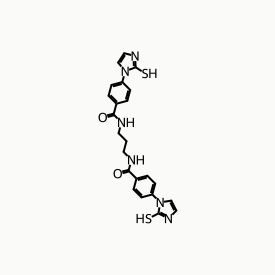 O=C(NCCCNC(=O)c1ccc(-n2ccnc2S)cc1)c1ccc(-n2ccnc2S)cc1